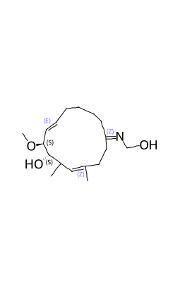 CO[C@H]1/C=C/CCCC/C(=N/CO)CC/C(C)=C\C(C)[C@@H]1O